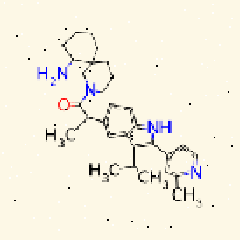 Cc1cc(-c2[nH]c3ccc(C(C)C(=O)N4CCCC5(CCCCC5N)C4)cc3c2C(C)C)ccn1